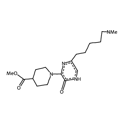 CNCCCCCc1c[nH]c(=O)c(N2CCC(C(=O)OC)CC2)n1